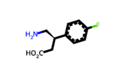 NC[C@H](CC(=O)O)c1ccc(F)cc1